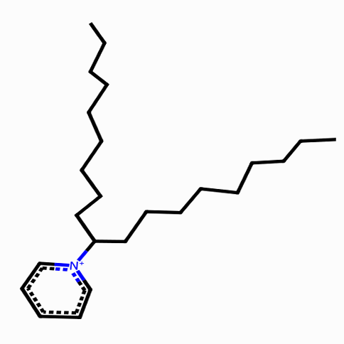 CCCCCCCCCC(CCCCCCCCC)[n+]1ccccc1